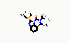 CCP(CC)c1nc2ccccc2n1C(=O)N(C(C)C)C(C)C